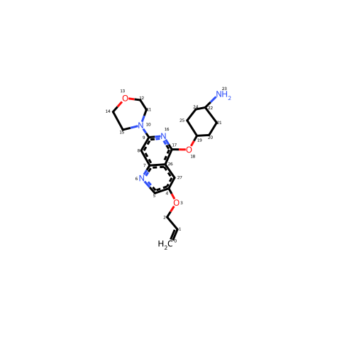 C=CCOc1cnc2cc(N3CCOCC3)nc(OC3CCC(N)CC3)c2c1